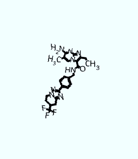 CCc1nc2nc(N)c(C)cn2c1C(=O)NCc1ccc(-c2nc3n(n2)CCC(C(F)(F)F)C3)cc1